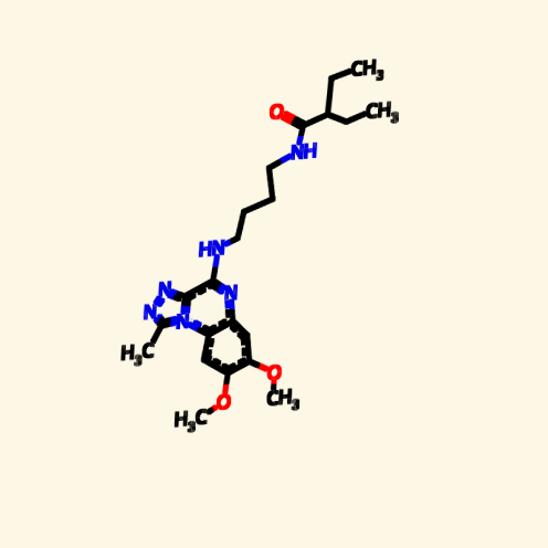 CCC(CC)C(=O)NCCCCNc1nc2cc(OC)c(OC)cc2n2c(C)nnc12